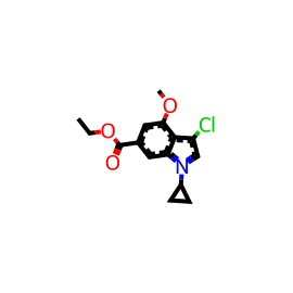 CCOC(=O)c1cc(OC)c2c(Cl)cn(C3CC3)c2c1